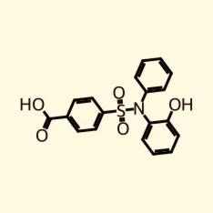 O=C(O)c1ccc(S(=O)(=O)N(c2ccccc2)c2ccccc2O)cc1